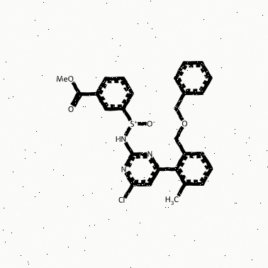 COC(=O)c1cccc([S+]([O-])Nc2nc(Cl)cc(-c3c(C)cccc3COCc3ccccc3)n2)c1